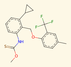 COC(=S)Nc1cccc(C2CC2)c1COc1ccc(C)cc1C(F)(F)F